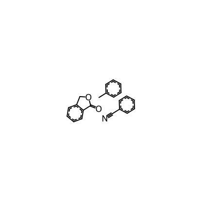 Cc1ccccc1.N#Cc1ccccc1.O=C1OCc2ccccc21